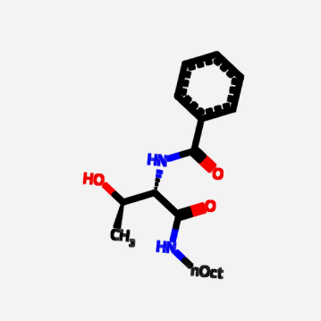 CCCCCCCCNC(=O)[C@@H](NC(=O)c1ccccc1)[C@@H](C)O